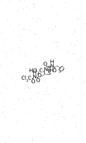 O=C(Cc1cccs1)N[C@@H]1C(=O)N2C(C(=O)O)=C(COC(=O)NC(=O)C(Cl)(Cl)Cl)CS[C@H]12